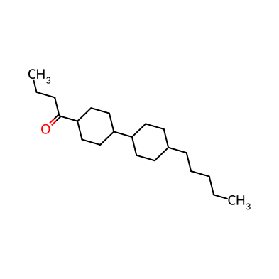 CCCCCC1CCC(C2CCC(C(=O)CCC)CC2)CC1